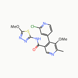 COc1nnc(NC(=O)c2cnc(C)c(OC)c2-c2ccnc(Cl)c2)s1